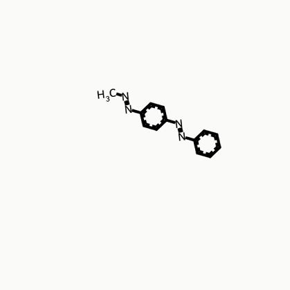 CN=Nc1ccc(N=Nc2ccccc2)cc1